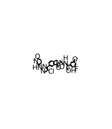 COc1cc(F)cc([C@@H](CO)NC(=O)[C@@H](C)N2Cc3ccc(-c4nc(N[C@@H]5CCC(=O)N(C)C5)ncc4Cl)cc3C2=O)c1